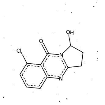 O=c1c2c(Cl)cccc2nc2n1C(O)CC2